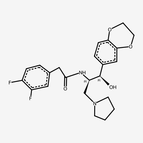 O=C(Cc1ccc(F)c(F)c1)N[C@H](CN1CCCC1)[C@H](O)c1ccc2c(c1)OCCO2